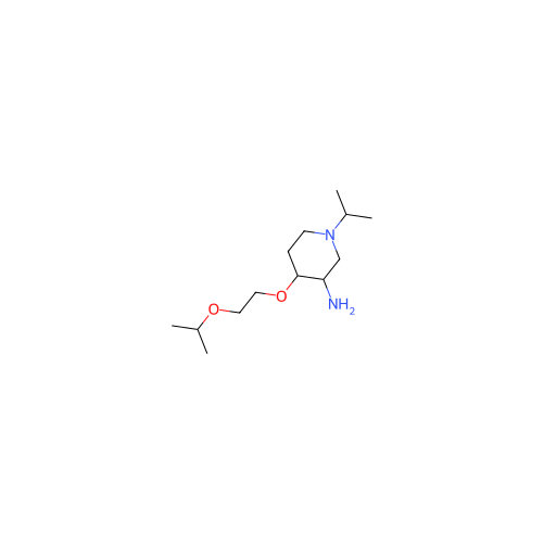 CC(C)OCCOC1CCN(C(C)C)CC1N